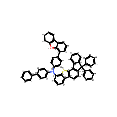 C1=Cc2c(oc3c(-c4ccc(N(c5ccc(-c6ccccc6)cc5)c5cccc6c5sc5c7c(ccc56)C(c5ccccc5)(c5ccccc5)c5ccccc5-7)cc4)cccc23)CC1